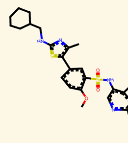 COc1ccc(-c2sc(NCC3CCCCC3)nc2C)cc1S(=O)(=O)Nc1cnc(C)cc1C